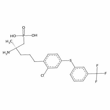 C[C@@](N)(CCCc1ccc(Sc2cccc(C(F)(F)F)c2)cc1Cl)CP(=O)(O)O